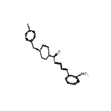 O=C(/C=C/C=C/c1ccccc1[N+](=O)[O-])N1CCN(Cc2ccc(F)cc2)CC1